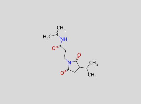 CB(C)NC(=O)CCN1C(=O)CC(C(C)C)C1=O